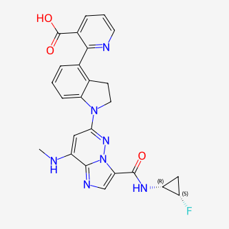 CNc1cc(N2CCc3c(-c4ncccc4C(=O)O)cccc32)nn2c(C(=O)N[C@@H]3C[C@@H]3F)cnc12